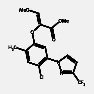 CO/C=C(\Oc1cc(-n2ccc(C(F)(F)F)n2)c(Cl)cc1C)C(=O)OC